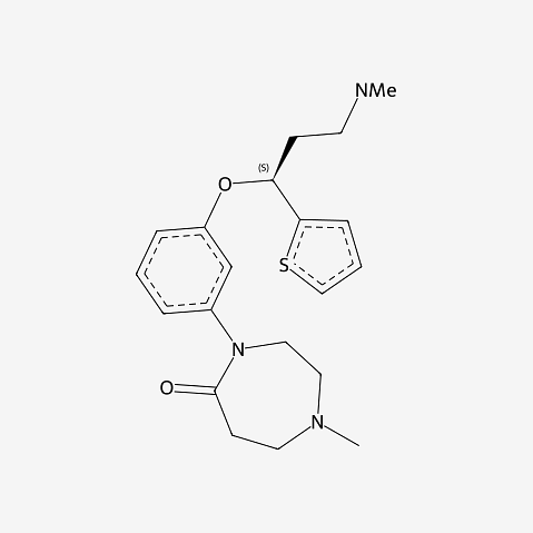 CNCC[C@H](Oc1cccc(N2CCN(C)CCC2=O)c1)c1cccs1